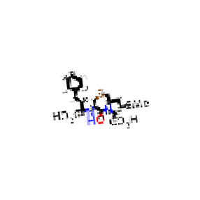 CSCCC1CSCC(NC(CCc2ccccc2)C(=O)O)C(=O)N1CC(=O)O